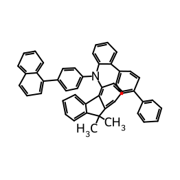 CC1(C)c2ccccc2-c2c(N(c3ccc(-c4cccc5ccccc45)cc3)c3ccccc3-c3ccc(-c4ccccc4)cc3)cccc21